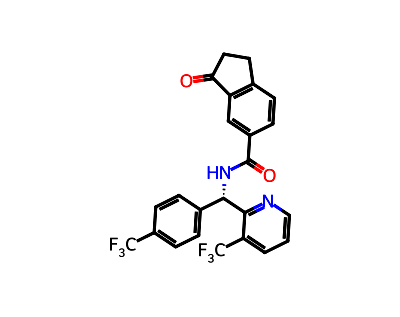 O=C(N[C@@H](c1ccc(C(F)(F)F)cc1)c1ncccc1C(F)(F)F)c1ccc2c(c1)C(=O)CC2